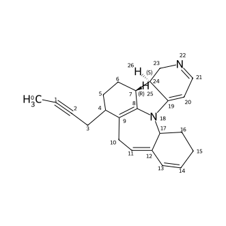 CC#CCC1CC[C@H]2C3=C1CC=C1C=CCCC1N3C1=CC=NC[C@@H]12